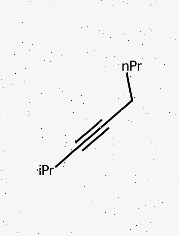 [CH2]CCCC#C[C](C)C